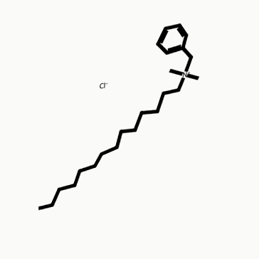 CCCCCCCCCCCCCC[N+](C)(C)Cc1ccccc1.[Cl-]